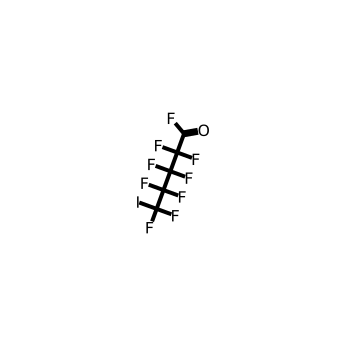 O=C(F)C(F)(F)C(F)(F)C(F)(F)C(F)(F)I